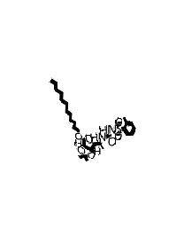 CCCCCCCCCCCCO[C@H]1O[C@H]([C@H](C)NC(=O)NS(=O)(=O)c2ccccc2C)[C@@H]2OC(C)(C)O[C@H]12